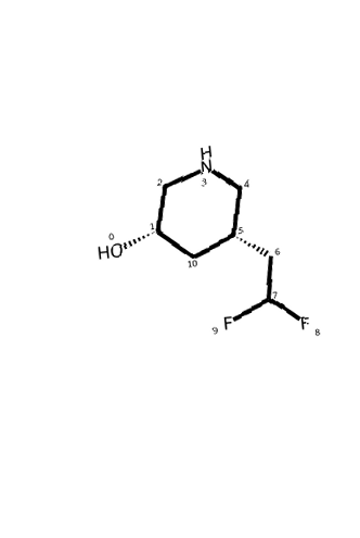 O[C@@H]1CNC[C@H](CC(F)F)C1